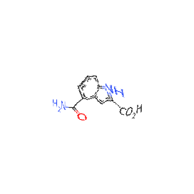 NC(=O)c1cccc2[nH]c(C(=O)O)cc12